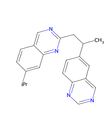 CC(C)c1ccc2cnc(CC(C)c3ccc4ncncc4c3)nc2c1